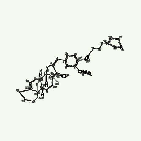 COc1cc(C=C2C[C@H]3[C@@H]4CC=C5CCCC[C@]5(C)[C@H]4CC[C@]3(C)C2=O)ccc1OCCCn1ccnc1